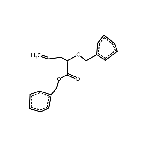 C=CCC(OCc1ccccc1)C(=O)OCc1ccccc1